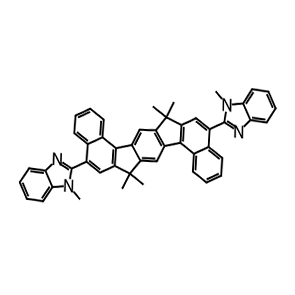 Cn1c(-c2cc3c(c4ccccc24)-c2cc4c(cc2C3(C)C)-c2c(cc(-c3nc5ccccc5n3C)c3ccccc23)C4(C)C)nc2ccccc21